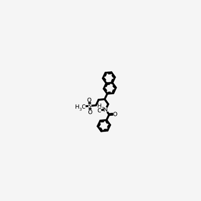 CN(CC(CCS(C)(=O)=O)c1ccc2ccccc2c1)C(=O)c1ccccc1